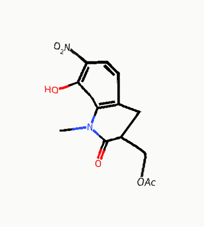 CC(=O)OCC1Cc2ccc([N+](=O)[O-])c(O)c2N(C)C1=O